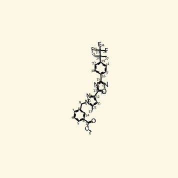 COC(=O)c1cccc(Cn2nc(-c3nc(-c4ccc(C(C)(C)C(F)(F)F)cc4)no3)cc2C)c1